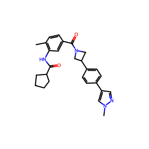 Cc1ccc(C(=O)N2CC(c3ccc(-c4cnn(C)c4)cc3)C2)cc1NC(=O)C1CCCC1